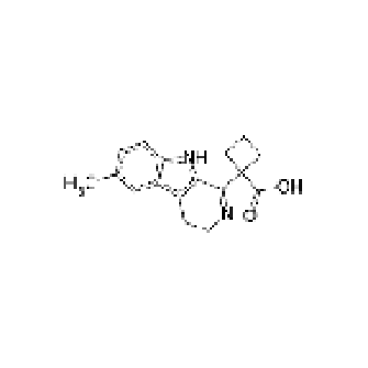 Cc1ccc2[nH]c3c(c2c1)CCN=C3C1(C(=O)O)CCC1